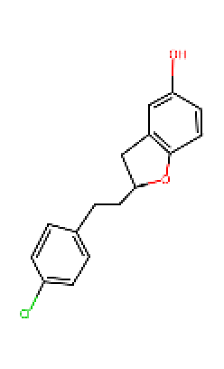 Oc1ccc2c(c1)CC(CCc1ccc(Cl)cc1)O2